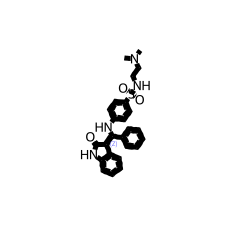 CN(C)CCNS(=O)(=O)c1ccc(N/C(=C2\C(=O)Nc3ccccc32)c2ccccc2)cc1